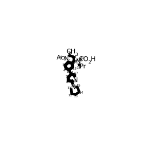 CC(=O)N1c2ccc(-c3ccc(N4CCCCC4)nc3)cc2[C@H](N(C(=O)O)C(C)C)C[C@@H]1C